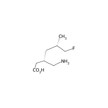 C[C@H](CF)C[C@H](CN)CC(=O)O